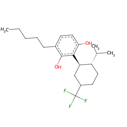 CCCCCc1ccc(O)c([C@@H]2CC(C(F)(F)F)CC[C@H]2C(C)C)c1O